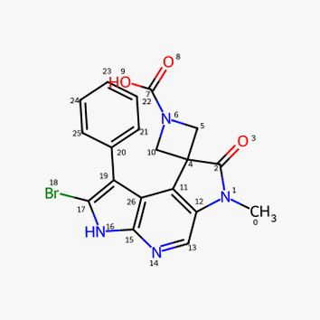 CN1C(=O)C2(CN(C(=O)O)C2)c2c1cnc1[nH]c(Br)c(-c3ccccc3)c21